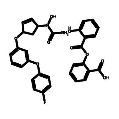 NC(=O)N(O)C1C=CC(Oc2cccc(Oc3ccc(F)cc3)c2)C1.O=C(Oc1ccccc1C(=O)O)c1ccccc1O